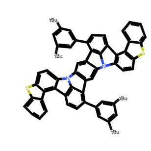 CC(C)(C)c1cc(-c2ccc3c4c5c(ccc4n4c6cc7c8c(-c9cc(C(C)(C)C)cc(C(C)(C)C)c9)ccc9c%10c%11c(ccc%10n(c7cc6c2c34)c98)sc2ccccc2%11)sc2ccccc25)cc(C(C)(C)C)c1